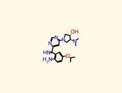 CC(C)Oc1ccc(N)c(C(=N)c2cc(N3C[C@H](O)[C@@H](N(C)C)C3)ncn2)c1